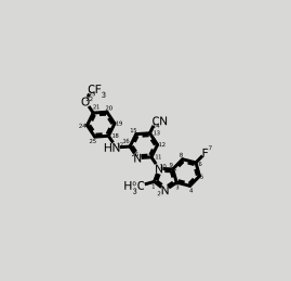 Cc1nc2ccc(F)cc2n1-c1cc(C#N)cc(Nc2ccc(OC(F)(F)F)cc2)n1